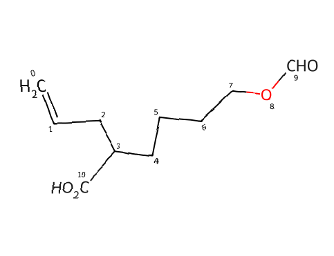 C=CCC(CCCCOC=O)C(=O)O